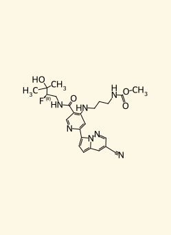 COC(=O)NCCCNc1cc(-c2ccc3cc(C#N)cnn23)ncc1C(=O)NC[C@@H](F)C(C)(C)O